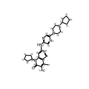 CC(=O)c1c(C)c2cnc(Nc3cnc(N4CCN(C5CCCC5)CC4)cn3)cc2n(C2CCCC2)c1=O